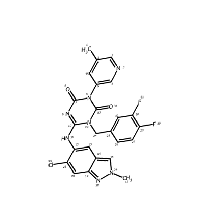 Cc1cncc(-n2c(=O)nc(Nc3cc4cn(C)nc4cc3Cl)n(Cc3ccc(F)c(F)c3)c2=O)c1